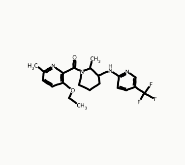 CCOc1ccc(C)nc1C(=O)N1CCCC(Nc2ccc(C(F)(F)F)cn2)C1C